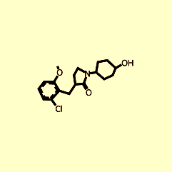 COc1cccc(Cl)c1CC1CCN(C2CCC(O)CC2)C1=O